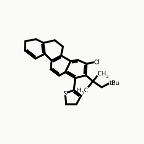 CC(C)(C)CC(C)(C)c1c(Cl)cc2c3c(ccc2c1C1=CCCS1)C1=C(CCC=C1)CC3